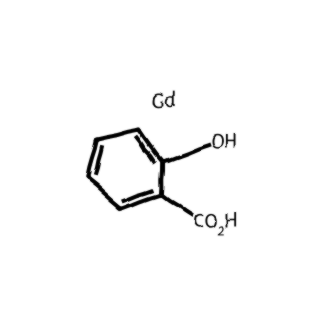 O=C(O)c1ccccc1O.[Gd]